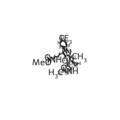 COC(=O)NCCCc1cc([C@@H](C)N(C(=O)[C@H]2CNC[C@@H](C)O2)C2CC2)nn1-c1ccc(C(F)(F)F)cc1